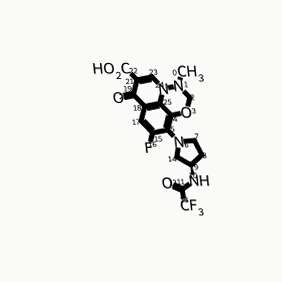 CN1COc2c(N3CC[C@@H](NC(=O)C(F)(F)F)C3)c(F)cc3c(=O)c(C(=O)O)cn1c23